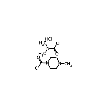 CN(C)C(=O)Cl.CN1CCN(C(=O)Cl)CC1.Cl